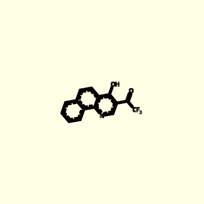 O=C(c1cnc2c(ccc3ccccc32)c1O)C(F)(F)F